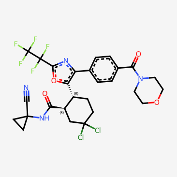 N#CC1(NC(=O)[C@@H]2CC(Cl)(Cl)CC[C@H]2c2oc(C(F)(F)C(F)(F)F)nc2-c2ccc(C(=O)N3CCOCC3)cc2)CC1